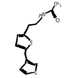 CC(=O)NCCc1ccc(-c2[c]scc2)s1